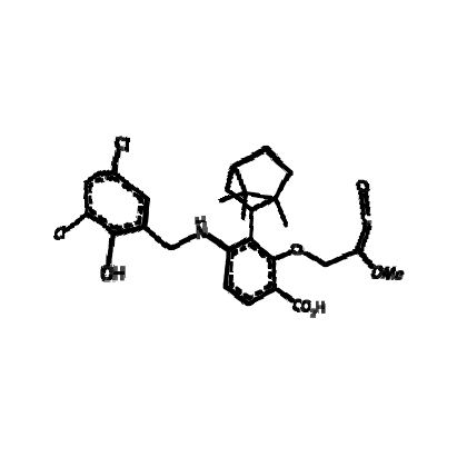 COC(=C=O)COc1c(C(=O)O)ccc(NCc2cc(Cl)cc(Cl)c2O)c1C1CC2CCC1(C)C2(C)C